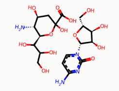 N[C@@H]1[C@@H](O)CC(O)(C(=O)O)O[C@H]1C(O)C(O)CO.Nc1ccn([C@@H]2O[C@H](CO)[C@@H](O)[C@H]2O)c(=O)n1